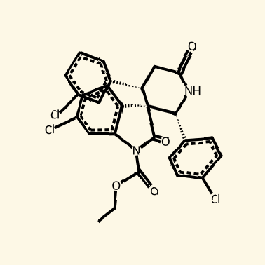 CCOC(=O)N1C(=O)[C@]2(c3ccc(Cl)cc31)[C@@H](c1ccc(Cl)cc1)NC(=O)C[C@H]2c1cccc(Cl)c1